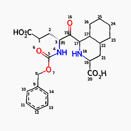 O=C(O)CC[C@@H](NC(=O)OCc1ccccc1)C(=O)C1NC(C(=O)O)CC2CCCCC21